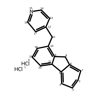 Cl.Cl.c1ccc2c(c1)Cc1c(Cc3ccncc3)cccc1-2